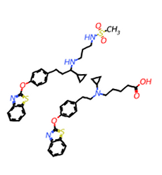 CS(=O)(=O)NCCCNC(CCc1ccc(Oc2nc3ccccc3s2)cc1)C1CC1.O=C(O)CCCCN(CCc1ccc(Oc2nc3ccccc3s2)cc1)C1CC1